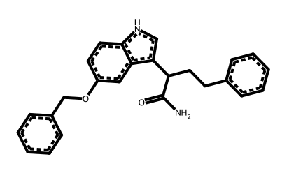 NC(=O)C(CCc1ccccc1)c1c[nH]c2ccc(OCc3ccccc3)cc12